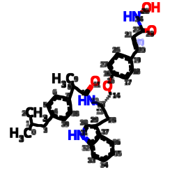 CC(C)Cc1ccc(C(C)C(=O)N[C@H](COc2ccc(/C=C/C(=O)NO)cc2)Cc2c[nH]c3ccccc23)cc1